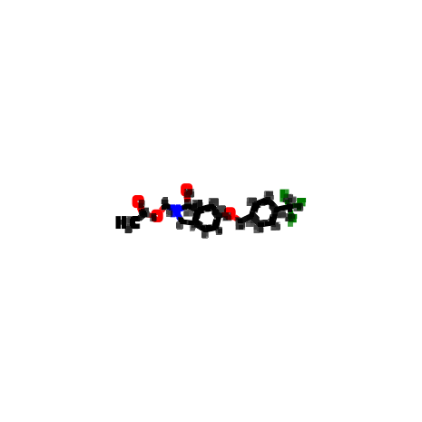 CC(=O)OCN1Cc2ccc(OCc3ccc(C(F)(F)F)cc3)cc2C1=O